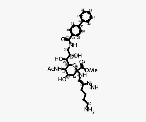 COC(=O)C1(N/C=C(/CCCCN)N=N)CC(O)C(NC(C)=O)C(C(O)[C@H](O)CNC(=O)c2ccc(-c3ccccc3)cc2)O1